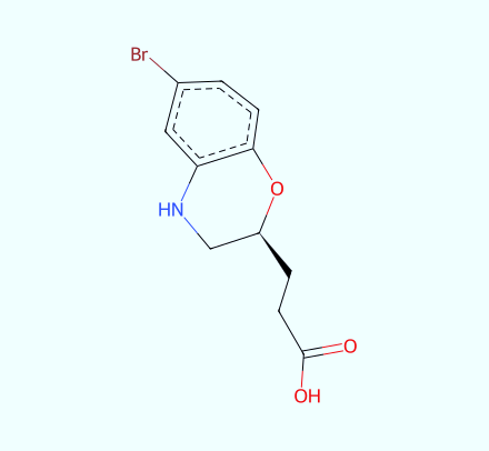 O=C(O)CC[C@H]1CNc2cc(Br)ccc2O1